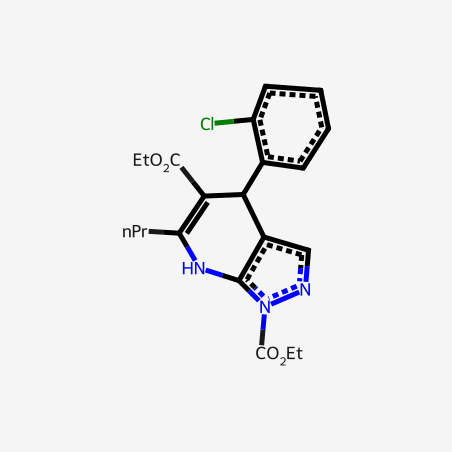 CCCC1=C(C(=O)OCC)C(c2ccccc2Cl)c2cnn(C(=O)OCC)c2N1